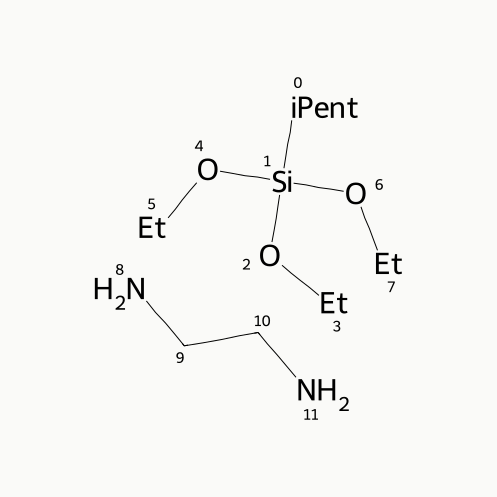 CCCC(C)[Si](OCC)(OCC)OCC.NCCN